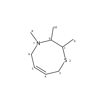 CC1SC/C=C\CN(C)C1C